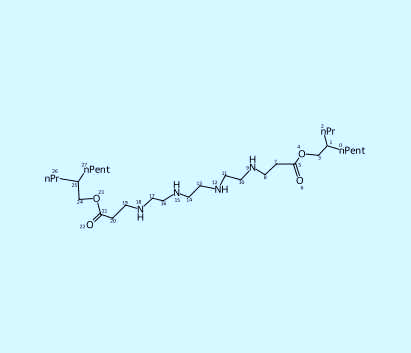 CCCCCC(CCC)COC(=O)CCNCCNCCNCCNCCC(=O)OCC(CCC)CCCCC